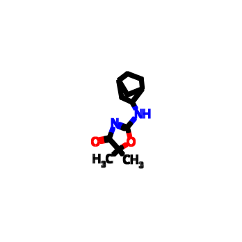 CC1(C)OC(NC2CC3CCC2C3)=NC1=O